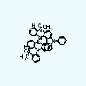 CC1(C)c2ccccc2N2c3ccccc3B(N3c4ccccc4[Si](C)(C)c4ccc5c(c43)c3ccccc3n5-c3ccccc3)c3cccc1c32